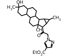 CCOC(=O)c1cnn(CC(=O)C2C3C(C)C3C3C4CCC5CC(C)(O)CCC5C4CCC23C)c1